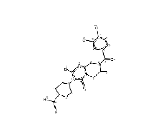 CC1Cc2c(nc(Cl)n(C3CCC(C(=O)O)CC3)c2=O)CN1C(=O)c1ccc(Cl)c(Cl)c1